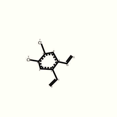 C=Cc1cc(Cl)c(Cl)cc1C=C